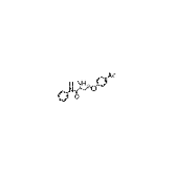 CC(=O)c1ccc(OCCC(N)C(=O)Nc2ccccc2)cc1